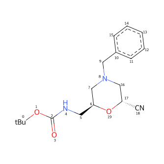 CC(C)(C)OC(=O)NC[C@H]1CN(Cc2ccccc2)C[C@H](C#N)O1